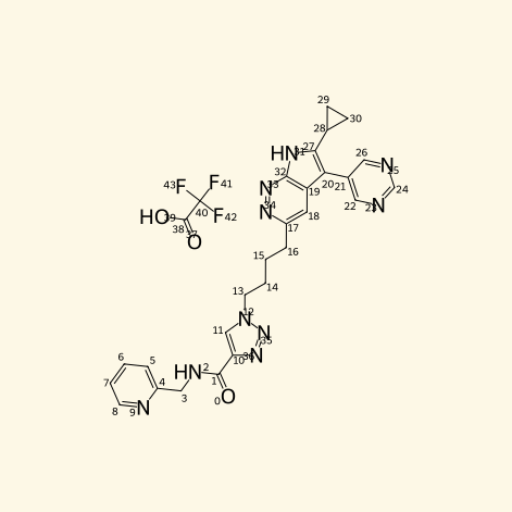 O=C(NCc1ccccn1)c1cn(CCCCc2cc3c(-c4cncnc4)c(C4CC4)[nH]c3nn2)nn1.O=C(O)C(F)(F)F